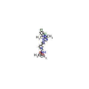 Cc1nn([C@H](C)c2ccc(Cl)cc2Cl)c2nc(N3CC([C@@H]4CCCN(CCNS(=O)(=O)C(C)C)C4)C3)cnc12